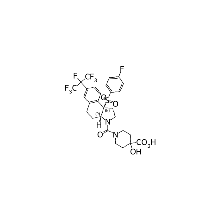 O=C(N1CCC(O)(C(=O)O)CC1)N1CC[C@@]2(S(=O)(=O)c3ccc(F)cc3)c3ccc(C(F)(C(F)(F)F)C(F)(F)F)cc3CC[C@@H]12